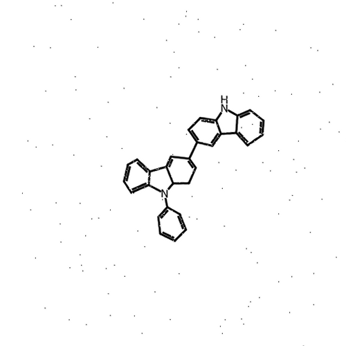 C1=C(c2ccc3[nH]c4ccccc4c3c2)C=C2c3ccccc3N(c3ccccc3)C2C1